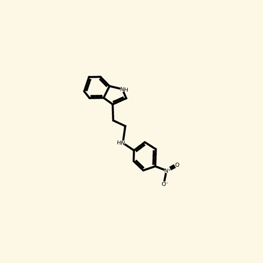 O=[N+]([O-])c1ccc(NCCc2c[nH]c3ccccc23)cc1